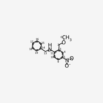 COCc1cc([N+](=O)[O-])ccc1NCc1ccccc1